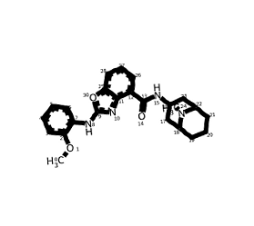 COc1ccccc1Nc1nc2c(C(=O)NC3CC4CCCC(C3)N4C)cccc2o1